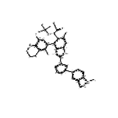 CC(=O)[C@@H](OC(C)(C)C)c1c(C)cc2nc(-c3cccc(-c4ccc5c(cnn5C)c4)c3)sc2c1-c1cc(F)c2c(c1C)CCCO2